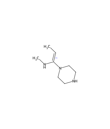 C/C=C(\NC)N1CCNCC1